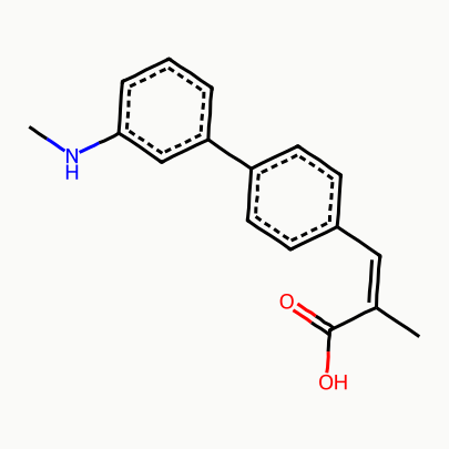 CNc1cccc(-c2ccc(C=C(C)C(=O)O)cc2)c1